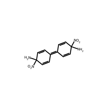 NC1([N+](=O)[O-])C=CC(=C2C=CC(N)([N+](=O)[O-])C=C2)C=C1